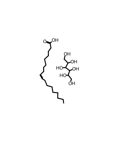 CCCCCCCC/C=C\CCCCCCCC(=O)O.OCC(O)C(O)C(O)C(O)CO